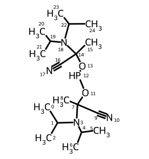 CC(C)N(C(C)C)C(C)(C#N)OPOC(C)(C#N)N(C(C)C)C(C)C